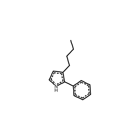 CCCCc1cc[nH]c1-c1ccccc1